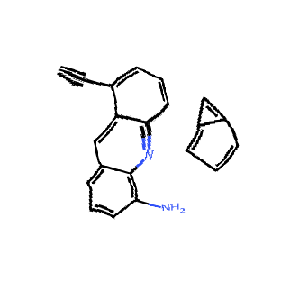 C#Cc1cccc2nc3c(N)cccc3cc12.c1cc2cc-2c1